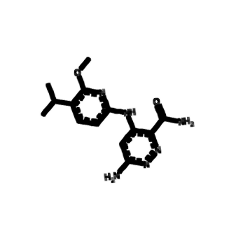 COc1nc(Nc2cc(N)nnc2C(N)=O)ccc1C(C)C